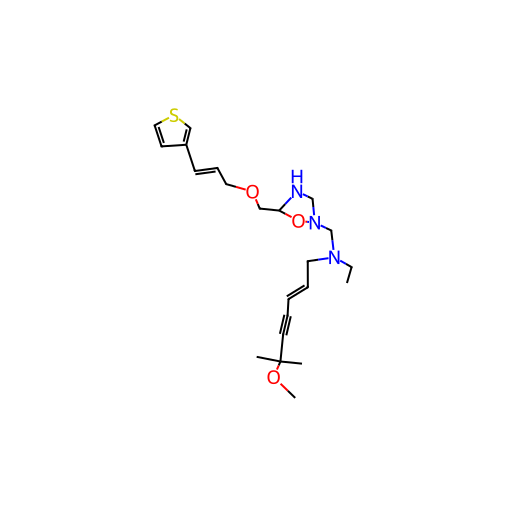 CCN(C/C=C/C#CC(C)(C)OC)CN1CNC(COC/C=C/c2ccsc2)O1